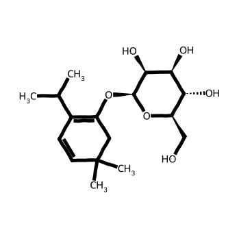 CC(C)C1=C(O[C@@H]2O[C@H](CO)[C@@H](O)[C@H](O)[C@@H]2O)CC(C)(C)C=C1